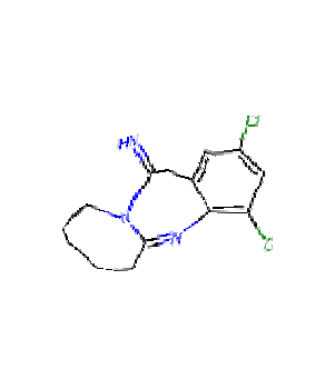 N=c1c2cc(Cl)cc(Cl)c2nc2n1CCCC2